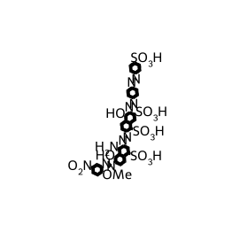 COc1ccc([N+](=O)[O-])cc1N=Nc1ccc2c(S(=O)(=O)O)cc(N=Nc3ccc4c(O)c(N=Nc5ccc(N=Nc6ccc(S(=O)(=O)O)cc6)cc5)c(S(=O)(=O)O)cc4c3S(=O)(=O)O)c(N)c2c1O